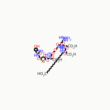 N=C(N)NCCC[C@H](NC(=O)[C@H](CCC(=O)O)NC(=O)[C@H](CCC(=O)O)NC(=O)CCCCCCCCCCCCCCCCCCC(=O)O)C(=O)NCCOCCOCC(=O)N[C@@H](CCC(=O)O)C(=O)N[C@H]1CSSC[C@@H](C(=O)CN[C@@H](Cc2ccc(O)cc2)C(N)=O)CC1=O